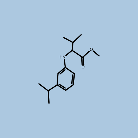 COC(=O)C(Nc1cccc(C(C)C)c1)C(C)C